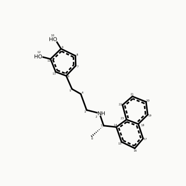 C[C@H](NCCCc1ccc(O)c(O)c1)c1cccc2ccccc12